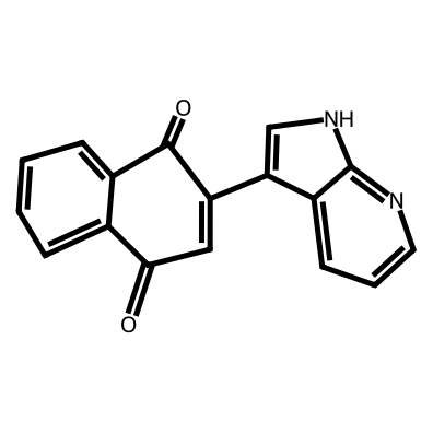 O=C1C=C(c2c[nH]c3ncccc23)C(=O)c2ccccc21